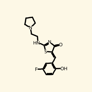 O=C1N=C(NCCN2CCCC2)S/C1=C\c1cc(F)ccc1O